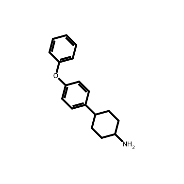 NC1CC[C](c2ccc(Oc3ccccc3)cc2)CC1